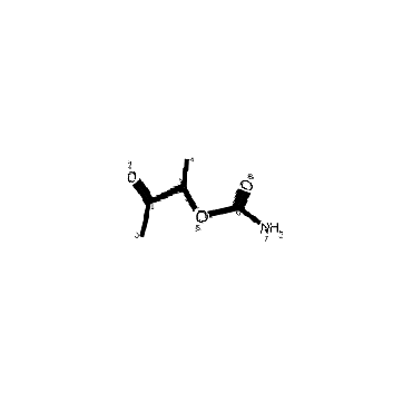 CC(=O)C(C)OC(N)=O